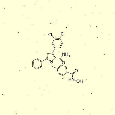 NC(=O)c1c(-c2ccc(Cl)c(Cl)c2)cc(-c2ccccc2)n1Cc1ccc(C(=O)NO)cc1